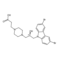 O=C(O)CCN1CCN(C[C@@H](O)Cn2c3ccc(Br)cc3c3cc(Br)ccc32)CC1